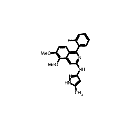 COc1ccc2c(-c3ccccc3F)nc(Nc3cc(C)[nH]n3)cc2c1OC